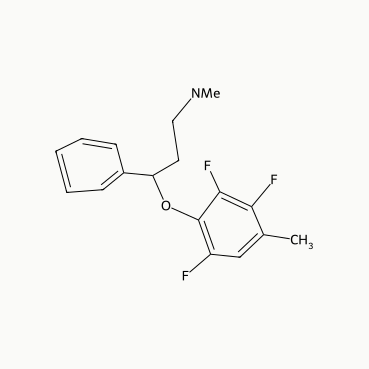 CNCCC(Oc1c(F)cc(C)c(F)c1F)c1ccccc1